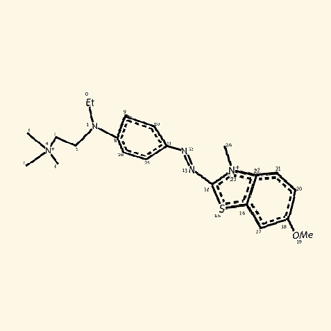 CCN(CC[N+](C)(C)C)c1ccc(/N=N/c2sc3cc(OC)ccc3[n+]2C)cc1